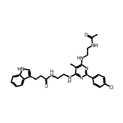 CC(=O)NCCNc1nc(-c2ccc(Cl)cc2)nc(NCCNC(=O)CCc2c[nH]c3ccccc23)c1C